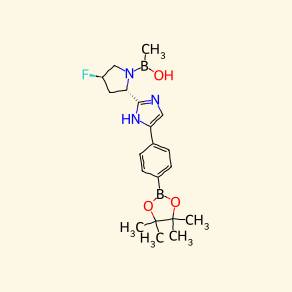 CB(O)N1C[C@H](F)C[C@H]1c1ncc(-c2ccc(B3OC(C)(C)C(C)(C)O3)cc2)[nH]1